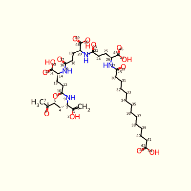 C=C(O)[C@H](CCC(C)=O)NC(=O)CC[C@H](NC(=O)CC[C@H](NC(=O)CC[C@H](NC(=O)CCCCCCCCCCCCC(=O)O)C(=O)O)C(=O)O)C(=O)O